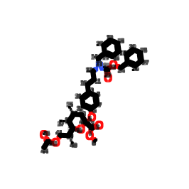 COC(=O)[C@@]1(Oc2ccc(CCCN(Cc3ccccc3)C(=O)OCc3ccccc3)cc2)C[C@@H](C)[C@@H](C)C([C@H](C)COC(C)=O)O1